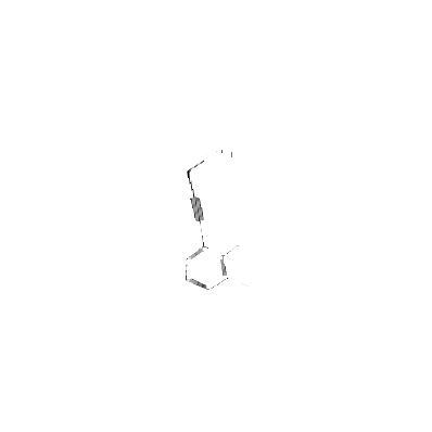 Cc1cccc(C#CCO)c1C